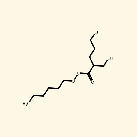 CCCCCCOOC(=O)C(CC)CCCC